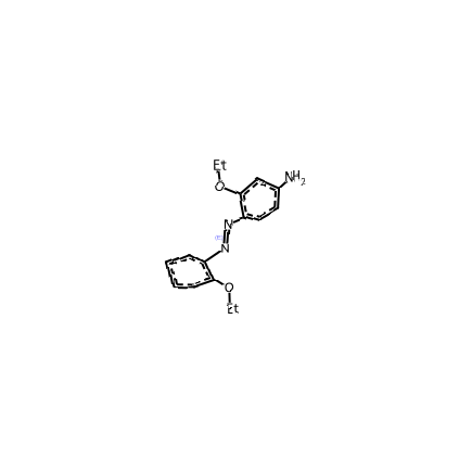 CCOc1ccccc1/N=N/c1ccc(N)cc1OCC